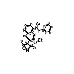 CCOc1cc2c(N(Cc3ccccn3)C(C)=O)ccnc2cc1-c1c(C)noc1C